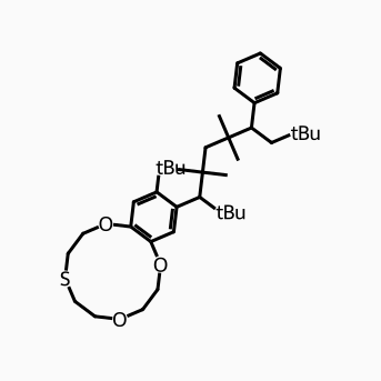 CC(C)(C)CC(c1ccccc1)C(C)(C)CC(C)(C)C(c1cc2c(cc1C(C)(C)C)OCCSCCOCCO2)C(C)(C)C